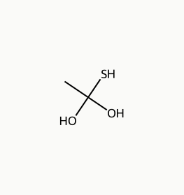 CC(O)(O)S